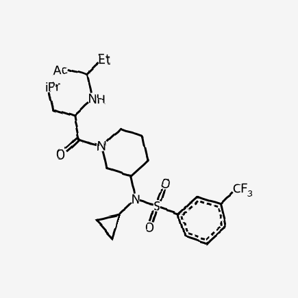 CCC(NC(CC(C)C)C(=O)N1CCCC(N(C2CC2)S(=O)(=O)c2cccc(C(F)(F)F)c2)C1)C(C)=O